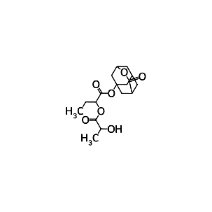 CCC(OC(=O)C(C)O)C(=O)OC12CC3CC(C1)OC(=O)C(C3)C2